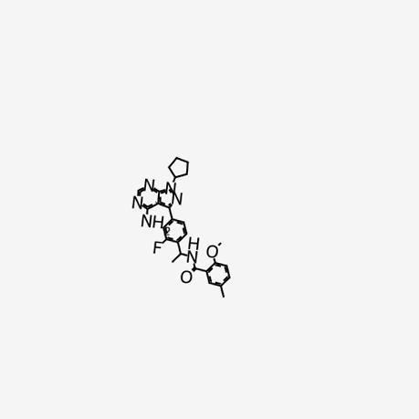 COc1ccc(C)cc1C(=O)NC(C)c1ccc(-c2nn(C3CCCC3)c3ncnc(N)c23)cc1F